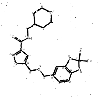 O=C(NCC1CCOCC1)c1cc(COCc2ccc3c(c2)OC(F)(F)O3)on1